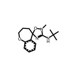 CN1OC2(CCCOc3ccccc32)N=C1NC(C)(C)C